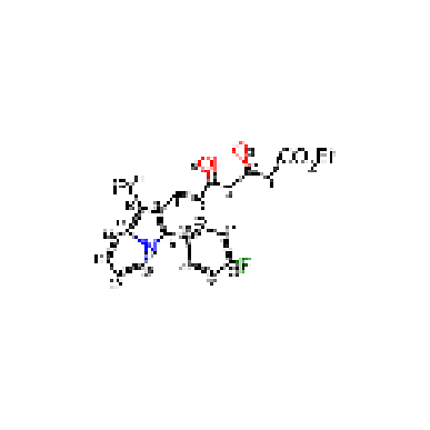 CCOC(=O)CC(=O)CC(O)C=Cc1c(C(C)C)c2ccccn2c1-c1ccc(F)cc1